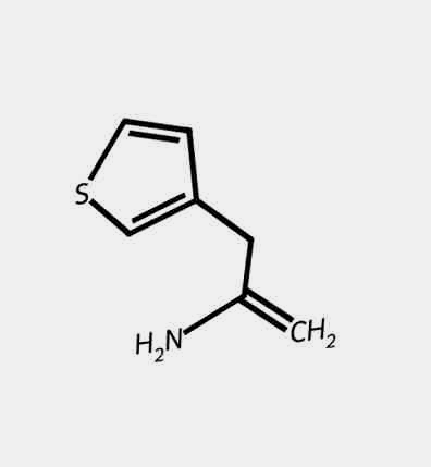 C=C(N)Cc1ccsc1